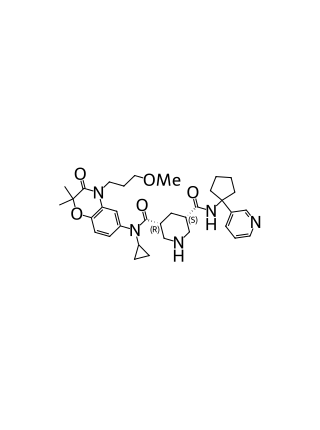 COCCCN1C(=O)C(C)(C)Oc2ccc(N(C(=O)[C@H]3CNC[C@@H](C(=O)NC4(c5cccnc5)CCCC4)C3)C3CC3)cc21